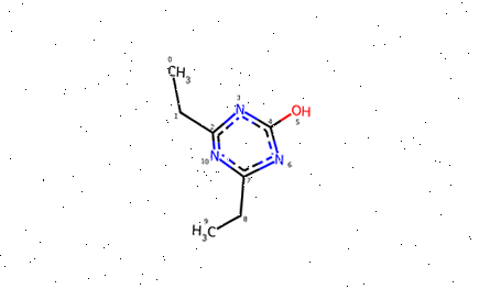 CCc1nc(O)nc(CC)n1